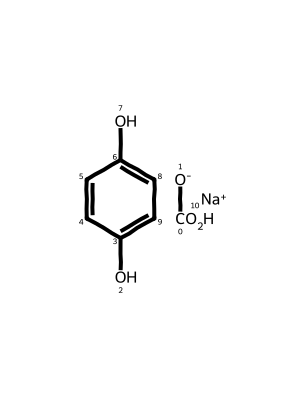 O=C([O-])O.Oc1ccc(O)cc1.[Na+]